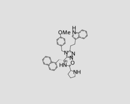 COc1ccc(Cn2c(CCc3c[nH]c4ccccc34)nnc2[C@@H](Cc2cccc3ccccc23)NC(=O)C2CCCN2)cc1